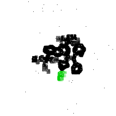 CC(C)(C)c1cc2c([c]([Zr+2]([C]3=CC=CC3)=[C](c3ccccc3)c3ccccc3)c1)Cc1c-2cccc1C(C)(C)C.[Cl-].[Cl-]